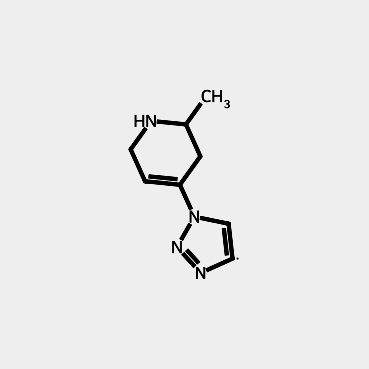 CC1CC(n2c[c]nn2)=CCN1